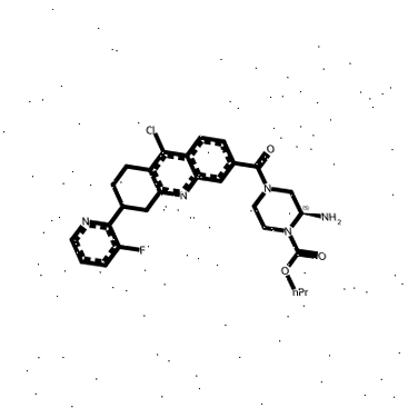 CCCOC(=O)N1CCN(C(=O)c2ccc3c(Cl)c4c(nc3c2)CC(c2ncccc2F)CC4)C[C@H]1N